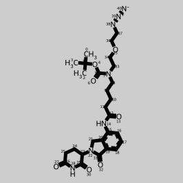 CC(C)(C)OC(=O)N(CCCCC(=O)Nc1cccc2c1CN(C1CCC(=O)NC1=O)C2=O)CCOCCN=[N+]=[N-]